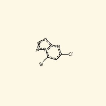 Clc1cc(Br)n2ncnc2n1